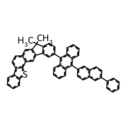 CC1(C)c2ccc(-c3c4ccccc4c(-c4ccc5cc(-c6ccccc6)ccc5c4)c4ccccc34)cc2-c2cc3c(ccc4c5ccccc5sc34)cc21